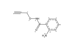 C#CCONC(=O)c1ccccc1N